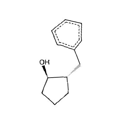 O[C@@H]1CCC[C@H]1Cc1ccccc1